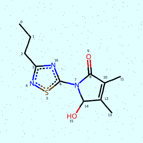 CCCc1nsc(N2C(=O)C(C)=C(C)C2O)n1